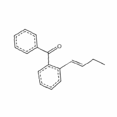 CCC=Cc1ccccc1C(=O)c1ccccc1